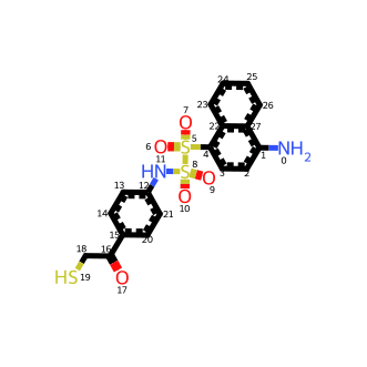 Nc1ccc(S(=O)(=O)S(=O)(=O)Nc2ccc(C(=O)CS)cc2)c2ccccc12